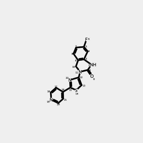 O=C1Nc2cc(F)ccc2CN1c1csc(-c2ccncc2)n1